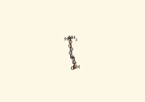 CC(=O)NCC(F)COCCN1CCN(CCOCCOCCOCCOCCNN)CC1